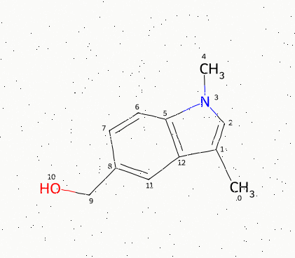 Cc1cn(C)c2ccc(CO)cc12